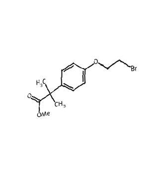 COC(=O)C(C)(C)c1ccc(OCCBr)cc1